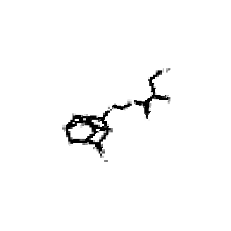 CC(C)CC(C)C(=O)OCOC1C2CC3CC(C2)C(=O)C1C3